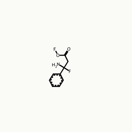 NC(F)(CC(=O)OF)c1ccccc1